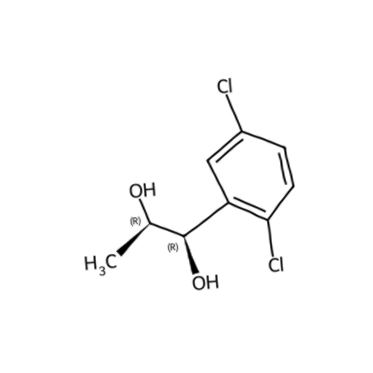 C[C@@H](O)[C@H](O)c1cc(Cl)ccc1Cl